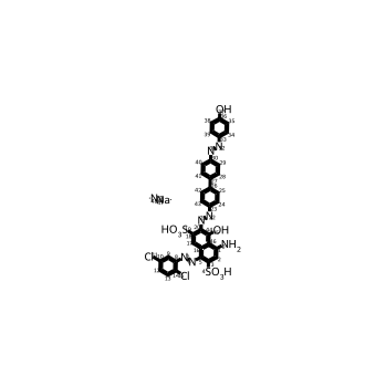 Nc1cc(S(=O)(=O)O)c(N=Nc2cc(Cl)ccc2Cl)c2cc(S(=O)(=O)O)c(N=Nc3ccc(-c4ccc(N=Nc5ccc(O)cc5)cc4)cc3)c(O)c12.[Na].[Na]